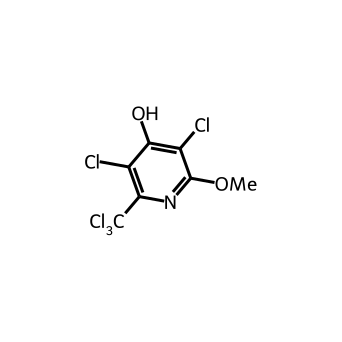 COc1nc(C(Cl)(Cl)Cl)c(Cl)c(O)c1Cl